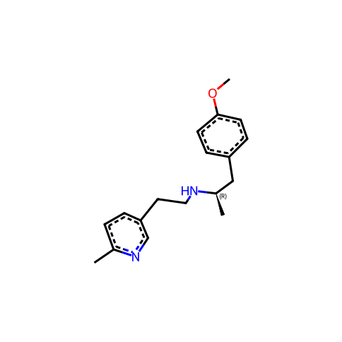 COc1ccc(C[C@@H](C)NCCc2ccc(C)nc2)cc1